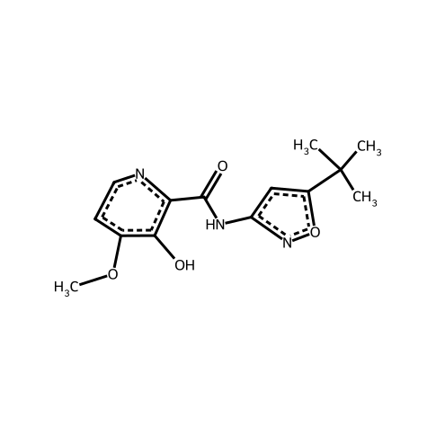 COc1ccnc(C(=O)Nc2cc(C(C)(C)C)on2)c1O